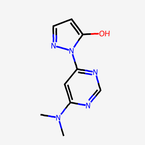 CN(C)c1cc(-n2nccc2O)ncn1